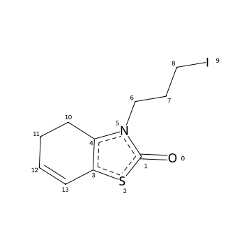 O=c1sc2c(n1CCCI)CCC=C2